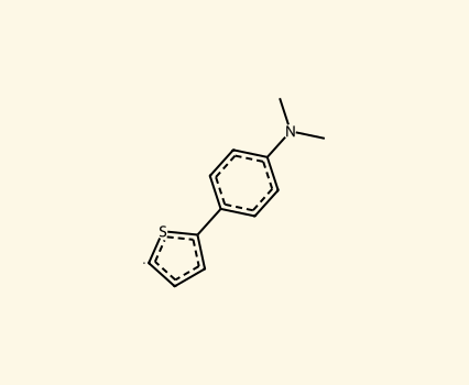 CN(C)c1ccc(-c2cc[c]s2)cc1